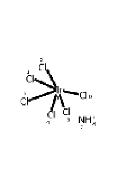 [Cl][Ir-]([Cl])([Cl])([Cl])([Cl])[Cl].[NH4+]